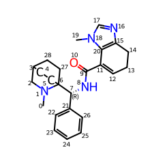 CN1CC2CCC1([C@H](NC(=O)C1=CCCc3ncn(C)c31)c1ccccc1)CC2